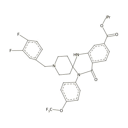 CC(C)OC(=O)c1ccc2c(c1)NC1(CCN(Cc3ccc(F)c(F)c3)CC1)N(c1ccc(OC(F)(F)F)cc1)C2=O